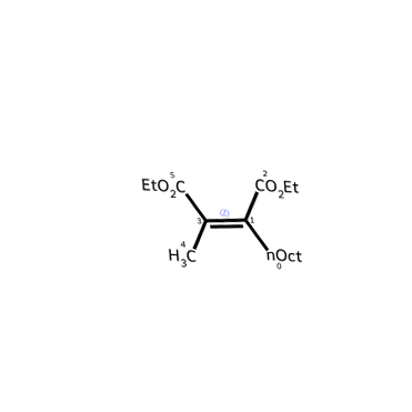 CCCCCCCC/C(C(=O)OCC)=C(\C)C(=O)OCC